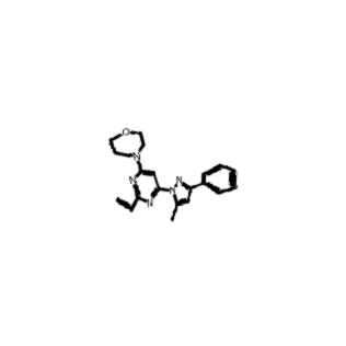 C=Cc1nc(N2CCOCC2)cc(-n2nc(-c3ccccc3)cc2C)n1